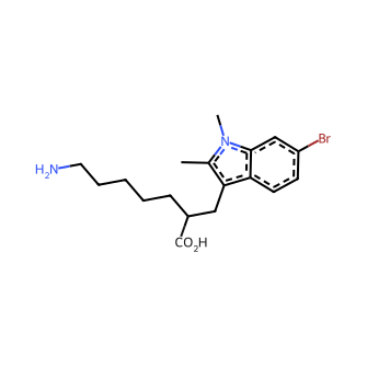 Cc1c(CC(CCCCCN)C(=O)O)c2ccc(Br)cc2n1C